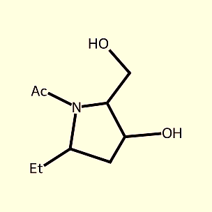 CCC1CC(O)C(CO)N1C(C)=O